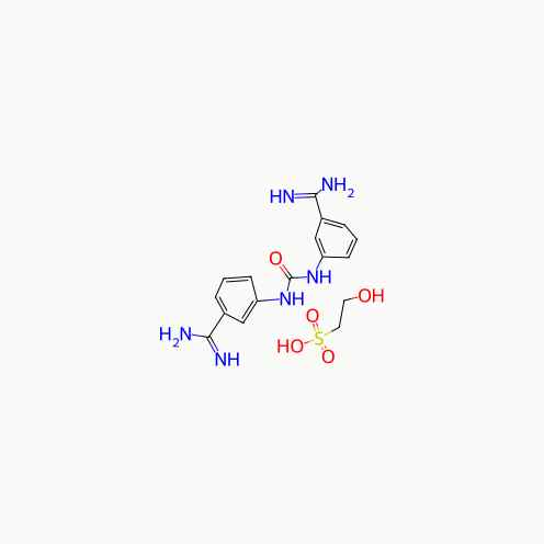 N=C(N)c1cccc(NC(=O)Nc2cccc(C(=N)N)c2)c1.O=S(=O)(O)CCO